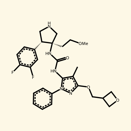 COCC[C@@]1(NC(=O)Nc2c(C)c(OCC3COC3)nn2-c2ccccc2)CNC[C@H]1c1ccc(F)c(F)c1